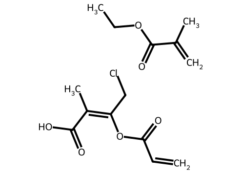 C=C(C)C(=O)OCC.C=CC(=O)OC(CCl)=C(C)C(=O)O